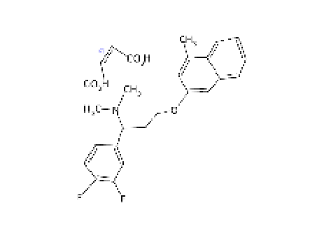 Cc1cc(OCCC(c2ccc(F)c(F)c2)N(C)C)cc2ccccc12.O=C(O)/C=C\C(=O)O